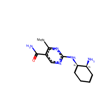 CNc1nc(N[C@@H]2CCCC[C@@H]2N)ncc1C(N)=O